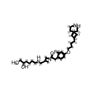 O=C(Cc1ccc(OCCCCC2CC3(CCNCC3)C2)cc1F)N1CC(CNCCCC[C@H](O)CO)C1